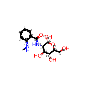 CNc1ccccc1C(=O)N[C@H]1C(O)[C@@H](O)C(CO)O[C@H]1O